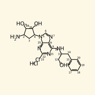 Cl.NC1CC(n2cnc3c(NC(CO)Cc4ccccc4)nc(Cl)nc32)C(O)C1O